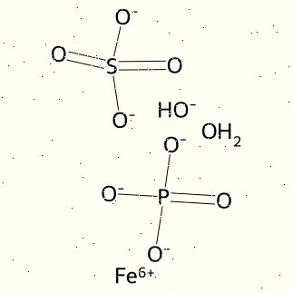 O.O=P([O-])([O-])[O-].O=S(=O)([O-])[O-].[Fe+6].[OH-]